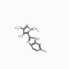 CC(=O)c1ccc2nc(-c3c(O)c(C)cn3C)[nH]c2c1